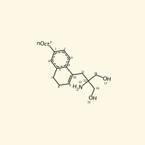 CCCCCCCCc1ccc2c(c1)CCC=C2CC(N)(CO)CO